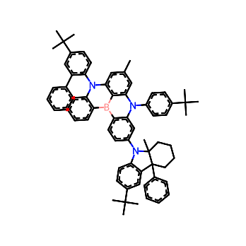 Cc1cc2c3c(c1)N(c1ccc(C(C)(C)C)cc1-c1ccccc1)c1ccccc1B3c1ccc(N3c4ccc(C(C)(C)C)cc4C4(c5ccccc5)CCCCC34C)cc1N2c1ccc(C(C)(C)C)cc1